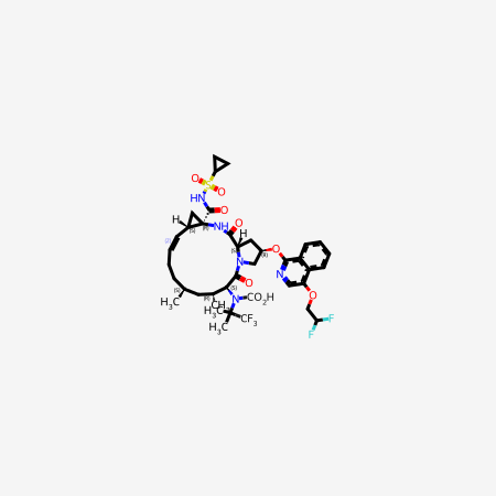 C[C@H]1CC/C=C\[C@@H]2C[C@@]2(C(=O)NS(=O)(=O)C2CC2)NC(=O)[C@@H]2C[C@@H](Oc3ncc(OCC(F)F)c4ccccc34)CN2C(=O)[C@@H](N(C(=O)O)C(C)(C)C(F)(F)F)[C@H](C)C1